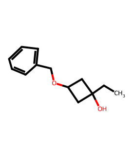 CCC1(O)CC(OCc2ccccc2)C1